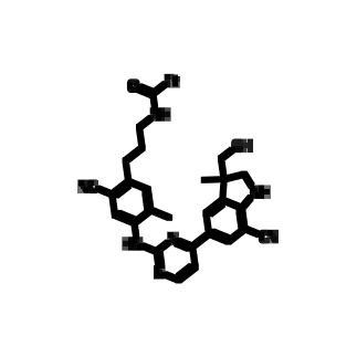 CCC(=O)NCCCc1cc(C)c(Nc2nccc(-c3cc(C#N)c4c(c3)C(C)(CO)CN4)n2)cc1C#N